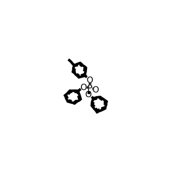 Cc1ccc(OP(=O)(Oc2ccccc2)Oc2ccccc2)cc1